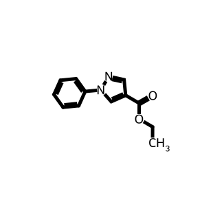 CCOC(=O)c1cnn(-c2ccccc2)c1